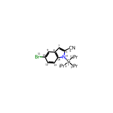 CC(C)[Si](C(C)C)(C(C)C)n1c(C#N)cc2cc(Br)ccc21